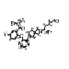 CCN(C(=O)c1cc(F)ccc1Oc1nncnc1N1CCC2(C1)CN([C@H](CCC=O)C(C)C)C2)C(C)C